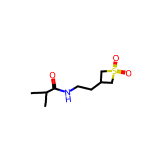 CC(C)C(=O)NCCC1CS(=O)(=O)C1